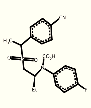 CC[C@@H](CS(=O)(=O)C(C)c1ccc(C#N)cc1)N(C(=O)O)c1ccc(F)cc1